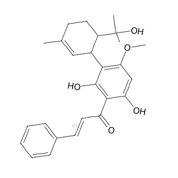 COc1cc(O)c(C(=O)/C=C/c2ccccc2)c(O)c1C1C=C(C)CCC1C(C)(C)O